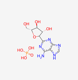 Nc1nc(C2O[C@H](CO)[C@@H](O)[C@@H]2O)nc2nc[nH]c12.O=P(O)(O)O